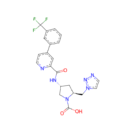 O=C(N[C@@H]1C[C@@H](Cn2ccnn2)N(C(=O)O)C1)c1cc(-c2cccc(C(F)(F)F)c2)ccn1